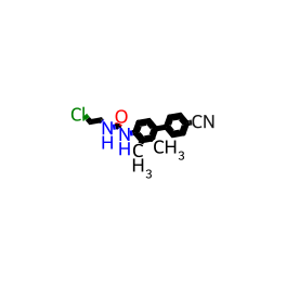 Cc1c(NC(=O)NCCCl)ccc(-c2ccc(C#N)cc2)c1C